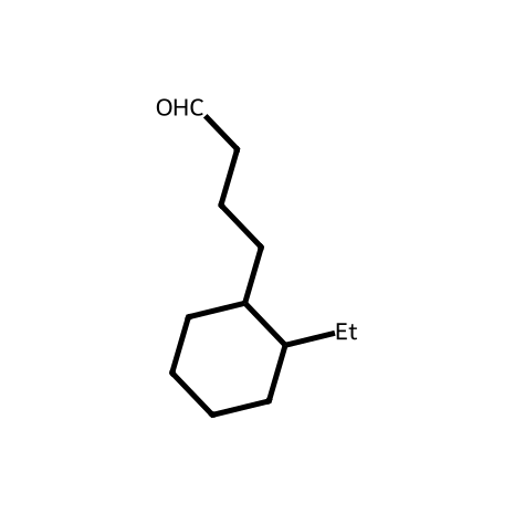 CCC1CCCCC1CCCC=O